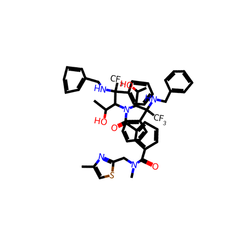 Cc1csc(CN(C)C(=O)c2cccc(C(=O)N(C(C(C)O)C(NCc3ccccc3)(c3ccccc3)C(F)(F)F)C(C(C)O)C(NCc3ccccc3)(c3ccccc3)C(F)(F)F)c2)n1